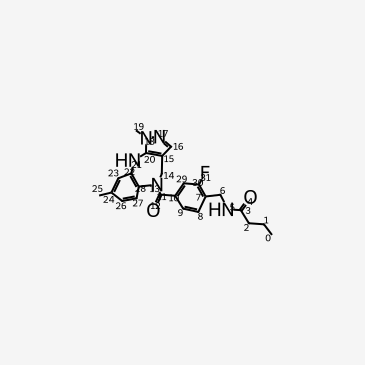 CCCC(=O)NCc1ccc(C(=O)N2Cc3cnn(C)c3Nc3cc(C)ccc32)cc1F